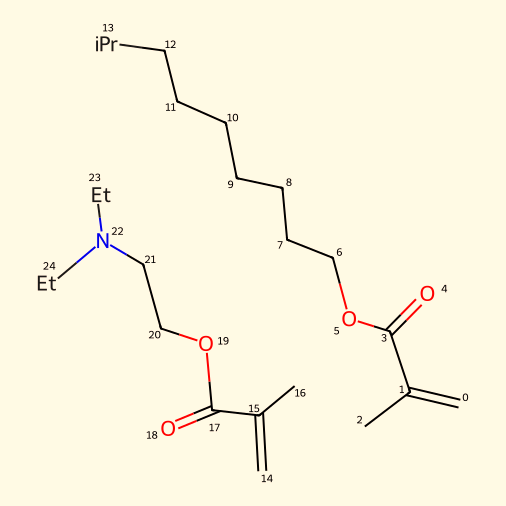 C=C(C)C(=O)OCCCCCCCC(C)C.C=C(C)C(=O)OCCN(CC)CC